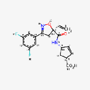 C=C[C@]1(C(=O)N[C@@H]2C=C[C@H](C(=O)O)C2)CC(c2cc(F)cc(F)c2)=NO1